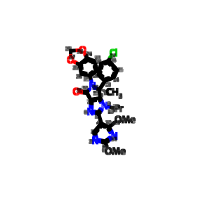 COc1ncc(-c2nc3c(n2C(C)C)[C@](C)(c2ccc(Cl)cc2)N(c2ccc4c(c2)OCO4)C3=O)c(OC)n1